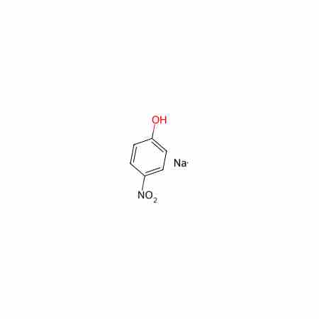 O=[N+]([O-])c1ccc(O)cc1.[Na]